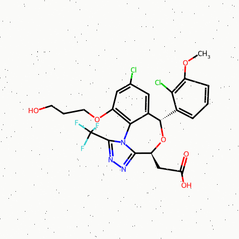 COc1cccc([C@@H]2O[C@@H](CC(=O)O)c3nnc(C(F)(F)F)n3-c3c(OCCCO)cc(Cl)cc32)c1Cl